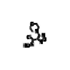 O/N=C(\Cl)c1nonc1N1CCOCC1